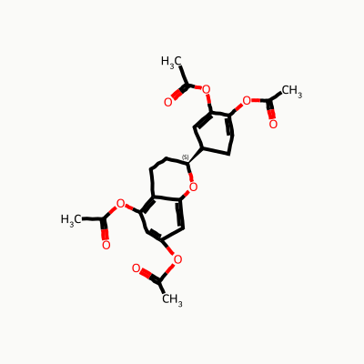 CC(=O)OC1=CCC([C@@H]2CCc3c(OC(C)=O)cc(OC(C)=O)cc3O2)C=C1OC(C)=O